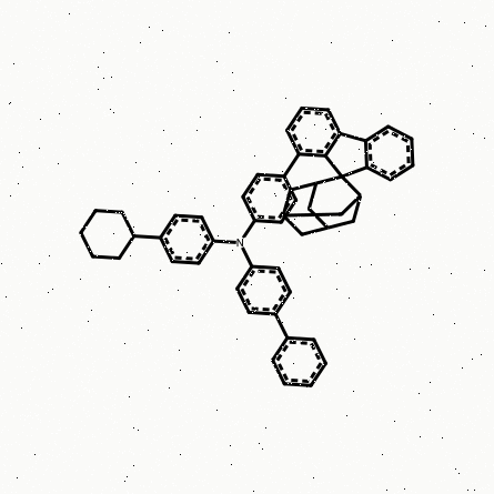 c1ccc(-c2ccc(N(c3ccc(-c4cccc5c4C4(c6ccccc6-5)C5CC6CC(C5)CC4C6)cc3)c3ccc(C4CCCCC4)cc3)cc2)cc1